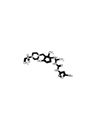 C=CS(=O)(=O)N1CCN(Cc2c(O)ccc(NC(C)NC(=O)Nc3cc(C(C)(C)C)on3)c2C)CC1